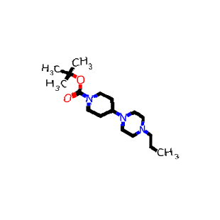 CCCN1CCN(C2CCN(C(=O)OC(C)(C)C)CC2)CC1